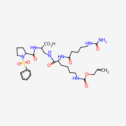 C=CCOC(=O)NCCCCC(NC(=O)CCCCNC(N)=O)C(=O)NCC(NC(=O)C1CCCN1S(=O)(=O)c1ccccc1)C(=O)O